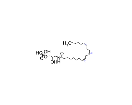 CCCCC/C=C\C/C=C\C/C=C\CCCCCCC(=O)NCC(O)COP(=O)(O)O